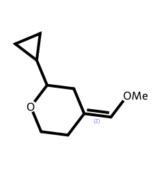 CO/C=C1/CCOC(C2CC2)C1